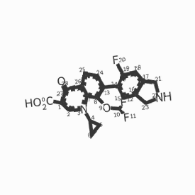 O=C(O)c1cn(C2CC2)c2c(OC(F)F)c(-c3cc4c(cc3F)CNC4)ccc2c1=O